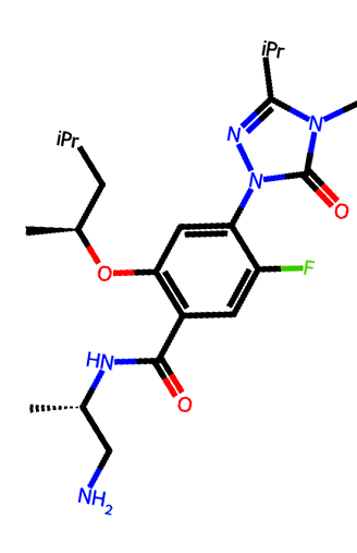 CC(C)C[C@H](C)Oc1cc(-n2nc(C(C)C)n(C)c2=O)c(F)cc1C(=O)N[C@@H](C)CN